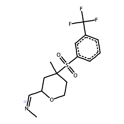 C/N=C\C1CC(C)(S(=O)(=O)c2cccc(C(F)(F)F)c2)CCO1